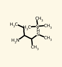 CCC(N)C(C)[SiH](C)[Si](C)(C)C